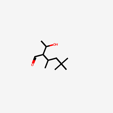 CC(O)C(C=O)C(C)CC(C)(C)C